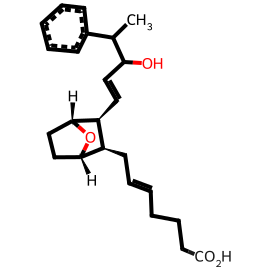 CC(c1ccccc1)C(O)C=C[C@H]1[C@@H](CC=CCCCC(=O)O)[C@@H]2CC[C@H]1O2